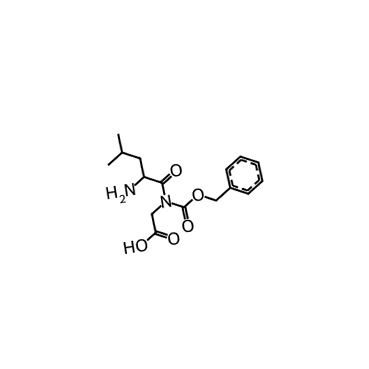 CC(C)CC(N)C(=O)N(CC(=O)O)C(=O)OCc1ccccc1